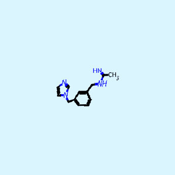 CC(=N)NCc1cccc(Cn2ccnc2)c1